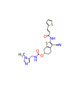 Cn1cncc1CNC(=O)OC1CCc2c(sc(NC(=O)C=Cc3cccs3)c2C#N)C1